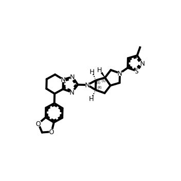 Cc1cc(N2CC3C[C@@H]4[C@H]([C@@H]3C2)N4c2nc3n(n2)CCCC3c2ccc3c(c2)OCO3)sn1